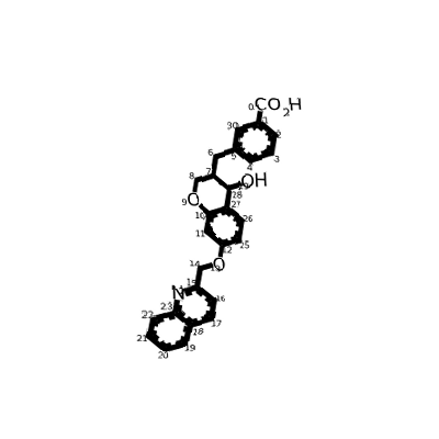 O=C(O)c1cccc(CC2COc3cc(OCc4ccc5ccccc5n4)ccc3C2O)c1